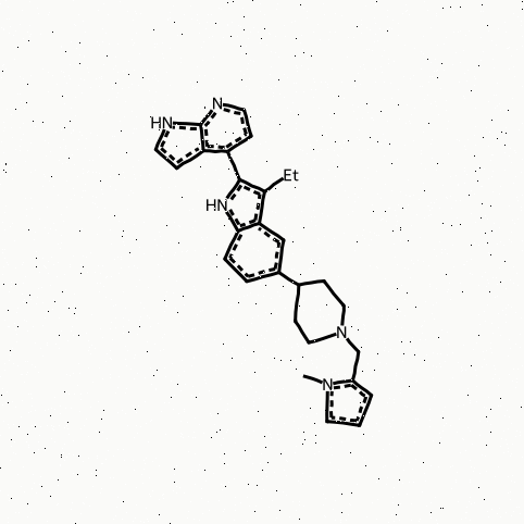 CCc1c(-c2ccnc3[nH]ccc23)[nH]c2ccc(C3CCN(Cc4cccn4C)CC3)cc12